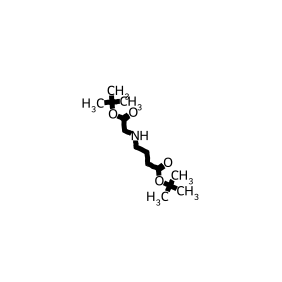 CC(C)(C)OC(=O)CCCNCC(=O)OC(C)(C)C